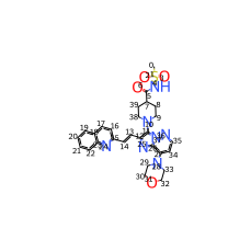 CS(=O)(=O)NC(=O)C1CCN(c2c(/C=C/c3ccc4ccccc4n3)nc3c(N4CCOCC4)ccnn23)CC1